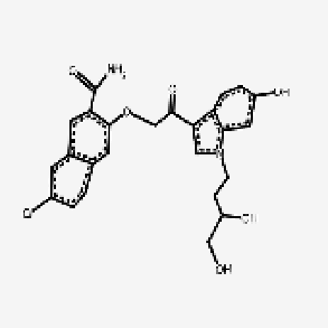 NC(=O)c1cc2cc(Cl)ccc2cc1OCC(=O)c1cn(CCC(O)CO)c2cc(O)ccc12